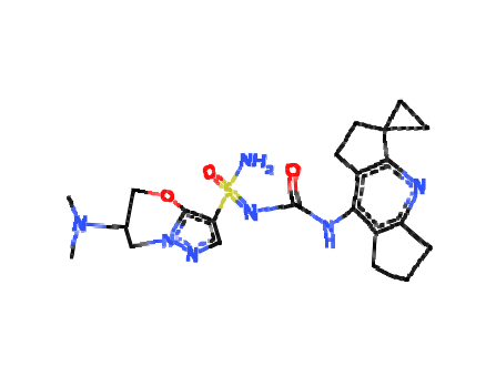 CN(C)C1COc2c(S(N)(=O)=NC(=O)Nc3c4c(nc5c3CCC53CC3)CCC4)cnn2C1